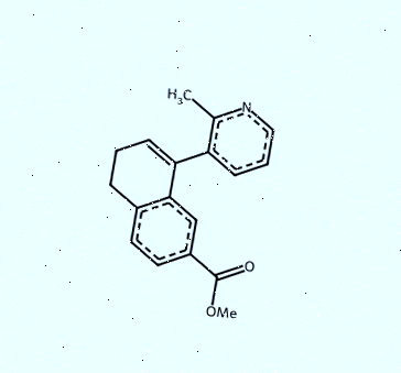 COC(=O)c1ccc2c(c1)C(c1cccnc1C)=CCC2